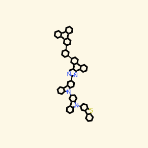 c1cc(-c2ccc3c4ccccc4c4ccccc4c3c2)cc(-c2ccc3c4ccccc4c4nc(-c5ccc6c(c5)c5ccccc5n6-c5ccc6c(c5)c5ccccc5n6-c5ccc6sc7ccccc7c6c5)ncc4c3c2)c1